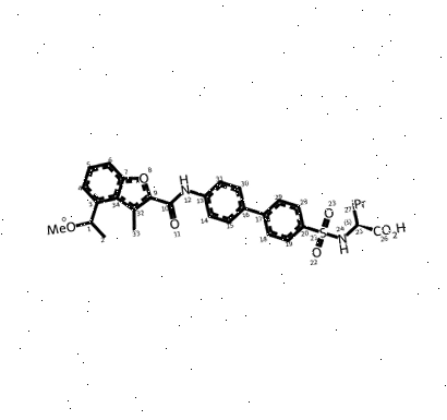 COC(C)c1cccc2oc(C(=O)Nc3ccc(-c4ccc(S(=O)(=O)N[C@H](C(=O)O)C(C)C)cc4)cc3)c(C)c12